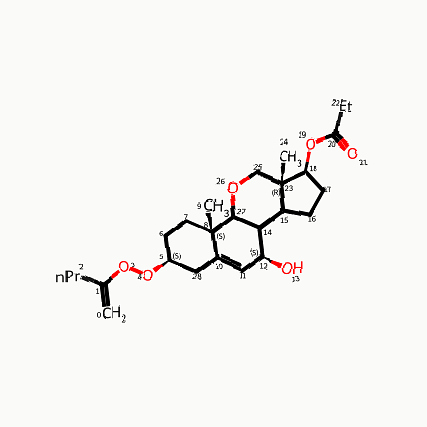 C=C(CCC)OO[C@H]1CC[C@@]2(C)C(=C[C@H](O)C3C4CCC(OC(=O)CC)[C@@]4(C)COC32)C1